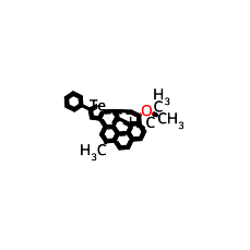 Cc1cc2c3cc(-c4ccccc4)[te]c3c3cc(OC(C)(C)C)c4ccc5ccc1c1c5c4c3c21